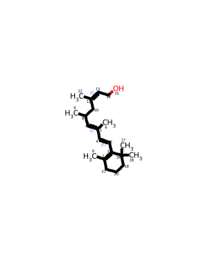 CC1=C(/C=C/C(C)=C/C(C)C/C(C)=C\CO)C(C)(C)CCC1